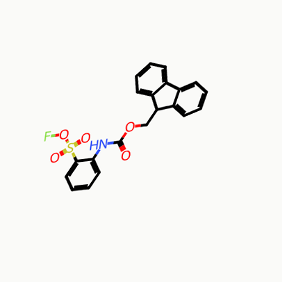 O=C(Nc1ccccc1S(=O)(=O)OF)OCC1c2ccccc2-c2ccccc21